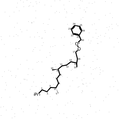 CC(C)CCC[C@@H](C)CCC[C@@H](C)CCCC(C)CCOOCc1ccccc1